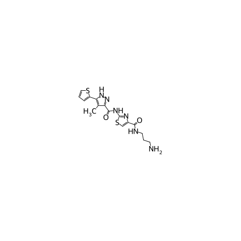 Cc1c(C(=O)Nc2nc(C(=O)NCCCN)cs2)n[nH]c1-c1cccs1